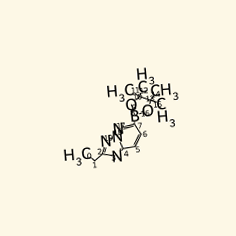 CCc1nc2ccc(B3OC(C)(C)C(C)(C)O3)nn2n1